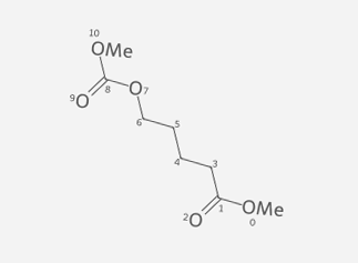 COC(=O)CCCCOC(=O)OC